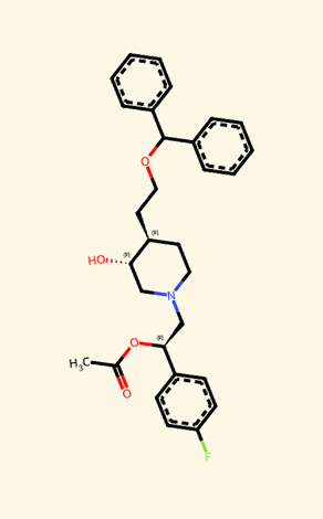 CC(=O)O[C@@H](CN1CC[C@H](CCOC(c2ccccc2)c2ccccc2)[C@@H](O)C1)c1ccc(F)cc1